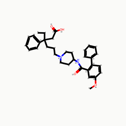 CCC(CCCN1CCC(NC(=O)c2cc(OC)ccc2-c2ccccc2)CC1)(CC(=O)O)c1ccccc1